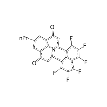 CCCc1cc2c(=O)cc3c4c(F)c(F)c(F)c5c(F)c(F)c(F)c(c54)c4cc(=O)c(c1)c2n34